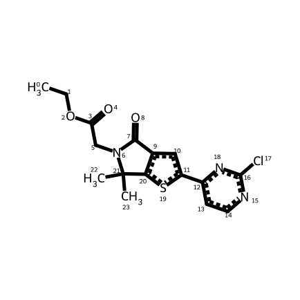 CCOC(=O)CN1C(=O)c2cc(-c3ccnc(Cl)n3)sc2C1(C)C